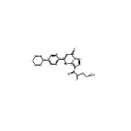 CN(CCO)C(=O)c1cnn2c(=O)cc(-c3ccc(C4CCCCC4)cc3)[nH]c12